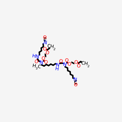 C=CC(=O)OCCOC(=O)N(CCCCCCCN=C=O)C1OC1NCCCCCCC(C)N(C(=O)OCCOC(=O)C=C)C1OC1NCCCCCCN=C=O